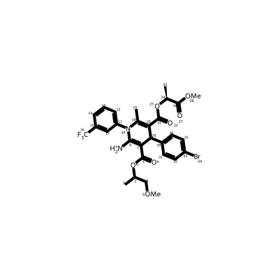 COCC(C)OC(=O)C1=C(N)N(c2cccc(C(F)(F)F)c2)C(C)=C(C(=O)O[C@@H](C)C(=O)OC)C1c1ccc(Br)cc1